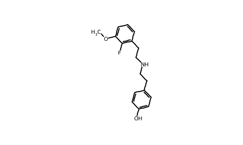 COc1cccc(CCNCCc2ccc(O)cc2)c1F